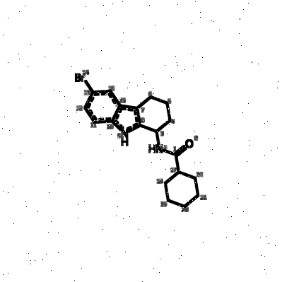 O=C(NC1CCCc2c1[nH]c1ccc(Br)cc21)C1CCCCC1